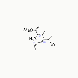 C=C(OC)/C(N)=C(C)/C(=C\C=C/C)C(C)C(C)C